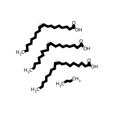 CCCC.CCCCCCCC/C=C\CCCCCCCC(=O)O.CCCCCCCC/C=C\CCCCCCCC(=O)O.CCCCCCCC/C=C\CCCCCCCC(=O)O